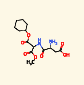 COC(=O)C(NC(=O)C(N)CC(=O)O)C(=O)OC1CCCCC1